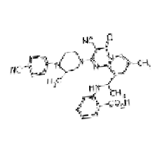 Cc1cc(C(C)Nc2ccccc2C(=O)O)c2nc(N3CCN(c4ccc(C#N)cc4)[C@@H](C)C3)c(C#N)c(=O)n2c1